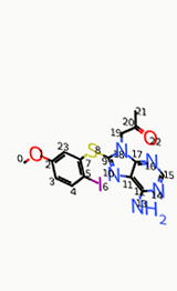 COc1ccc(I)c(Sc2nc3c(N)ncnc3n2CC(C)=O)c1